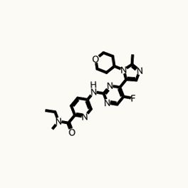 CCN(C)C(=O)c1ccc(Nc2ncc(F)c(-c3cnc(C)n3C3CCOCC3)n2)cn1